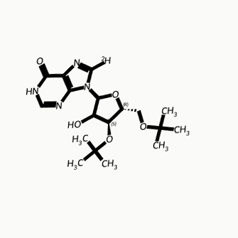 [2H]c1nc2c(=O)[nH]cnc2n1C1O[C@H](COC(C)(C)C)[C@@H](OC(C)(C)C)C1O